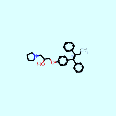 CC/C(=C(\c1ccccc1)c1ccc(OCC(O)CN2CCCC2)cc1)c1ccccc1